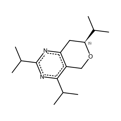 CC(C)c1nc2c(c(C(C)C)n1)CO[C@H](C(C)C)C2